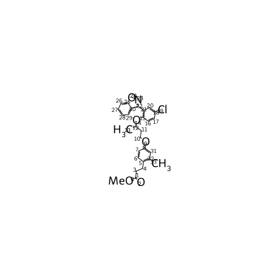 COC(=O)CCc1ccc(OCCC(C)Oc2ccc(Cl)cc2-c2noc3ccccc23)cc1C